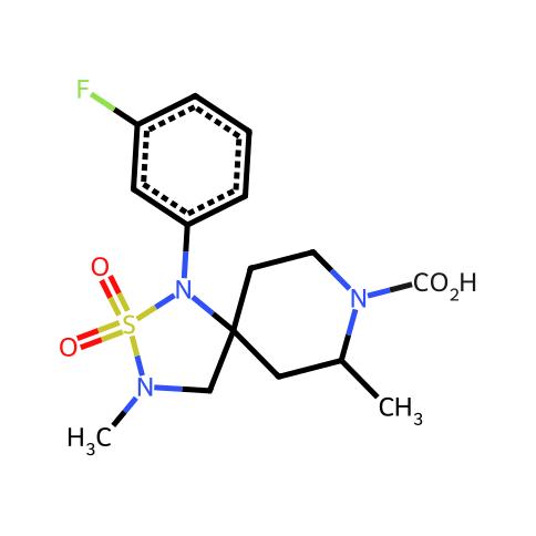 CC1CC2(CCN1C(=O)O)CN(C)S(=O)(=O)N2c1cccc(F)c1